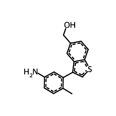 Cc1ccc(N)cc1-c1csc2ccc(CO)cc12